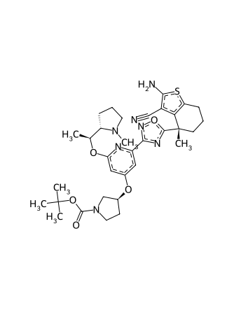 C[C@H](Oc1cc(O[C@H]2CCN(C(=O)OC(C)(C)C)C2)cc(-c2noc([C@@]3(C)CCCc4sc(N)c(C#N)c43)n2)n1)[C@@H]1CCCN1C